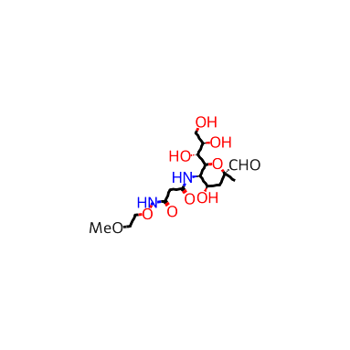 COCCONC(=O)CC(=O)N[C@H]1C([C@H](O)[C@H](O)CO)O[C@](C)(C=O)C[C@H]1O